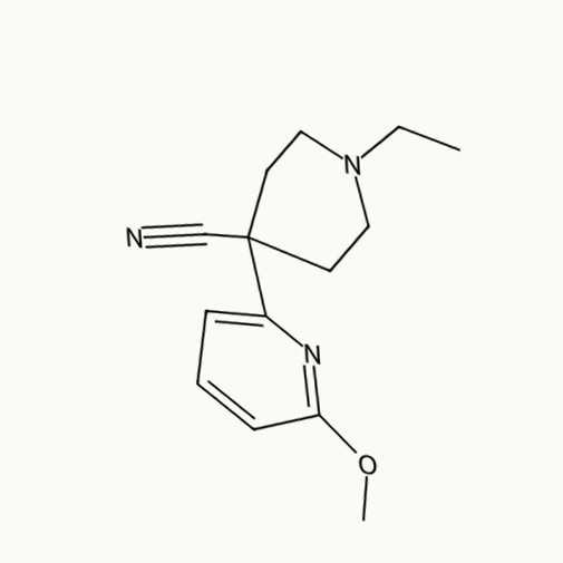 CCN1CCC(C#N)(c2cccc(OC)n2)CC1